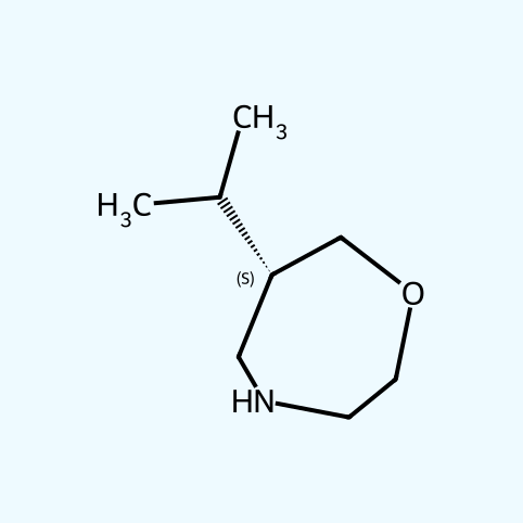 CC(C)[C@H]1CNCCOC1